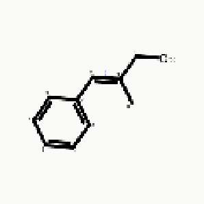 C/C(=C\c1ccccc1)C[O]